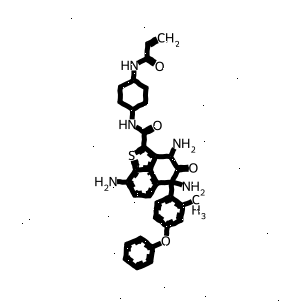 C=CC(=O)NC1CCC(NC(=O)c2sc3c(N)ccc4c3c2C(N)C(=O)C4(N)c2ccc(Oc3ccccc3)cc2C)CC1